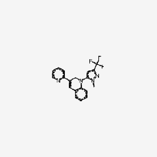 Cn1nc(C(F)(F)F)cc1N1CC(c2ccccn2)=Cc2ccccc21